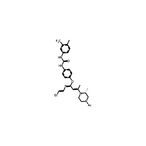 CC/C=C/N=C(\C=C(/C)N1CCN(C(C)=O)C[C@H]1C)Oc1ccc(NC(=O)Nc2ccc(C)c(C(F)(F)F)c2)cc1